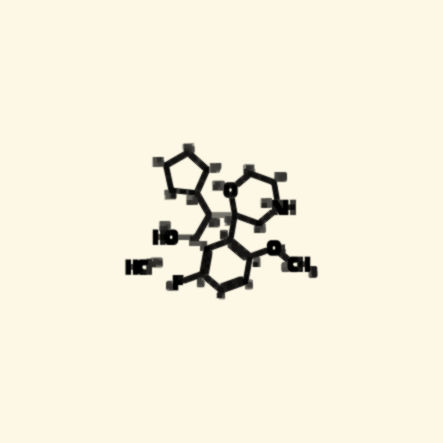 COc1ccc(F)cc1C1(C(CO)C2CCCC2)CNCCO1.Cl